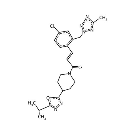 Cc1nnn(Cc2cc(Cl)ccc2C=CC(=O)N2CCC(c3nnc(C(C)C)o3)CC2)n1